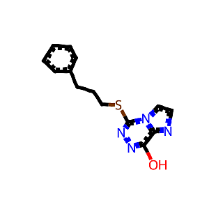 Oc1nnc(SCCCc2ccccc2)n2ccnc12